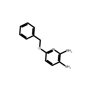 Nc1ccc(OCc2ccccc2)nc1N